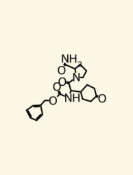 NC(=O)C1CCCN1C(=O)C(NC(=O)OCc1ccccc1)C1CCC(=O)CC1